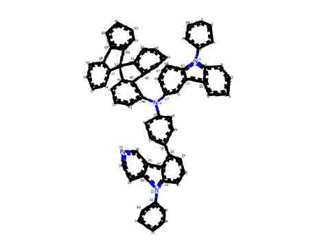 c1ccc(-n2c3ccccc3c3cc(N(c4ccc(-c5cccc6c5c5cnccc5n6-c5ccccc5)cc4)c4cccc5c4-c4ccccc4C54c5ccccc5-c5ccccc54)ccc32)cc1